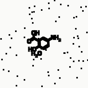 Nc1ccc(O)c(C(=O)O)c1.O